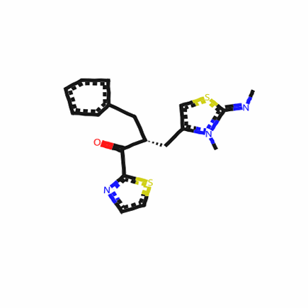 CN=c1scc(C[C@@H](Cc2ccccc2)C(=O)c2n[c]cs2)n1C